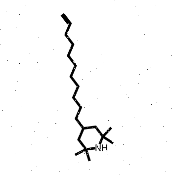 C=CCCCCCCCCCC1CC(C)(C)NC(C)(C)C1